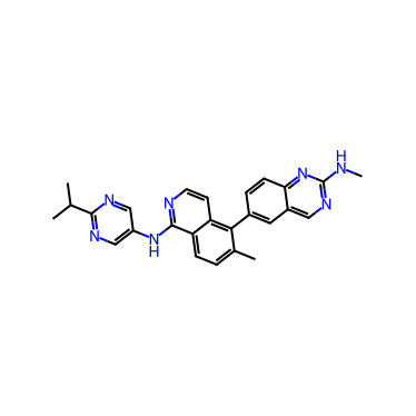 CNc1ncc2cc(-c3c(C)ccc4c(Nc5cnc(C(C)C)nc5)nccc34)ccc2n1